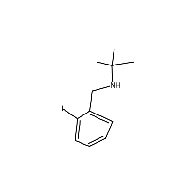 CC(C)(C)NCc1ccccc1I